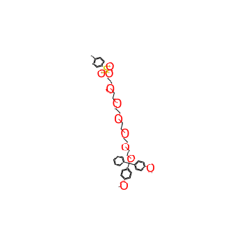 COc1ccc(C(OCCOCCOCCOCCOCCOCCOS(=O)(=O)c2ccc(C)cc2)(c2ccccc2)c2ccc(OC)cc2)cc1